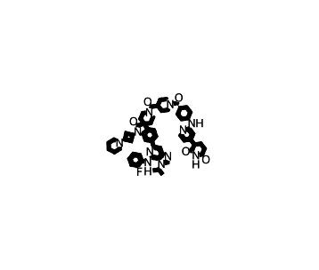 CC(C)n1cnc2cc(-c3ccc4c(c3)N([C@H]3C[C@@H](N5CCCCC5)C3)C(=O)C43CCN(C(=O)C4CCN(C(=O)[C@H]5CC[C@H](Nc6cc(C7CCC(=O)NC7=O)ccn6)CC5)CC4)CC3)nc(Nc3ccccc3F)c21